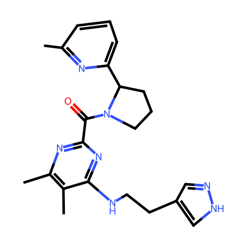 Cc1cccc(C2CCCN2C(=O)c2nc(C)c(C)c(NCCc3cn[nH]c3)n2)n1